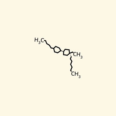 CCCCCCC[C@]1(CC)CC[C@@H](C2CCC(CCCCC)CC2)CC1